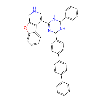 C1=C(C2=NC(c3ccc(-c4ccc(-c5ccccc5)cc4)cc3)NC(c3ccccc3)N2)c2c(oc3ccccc23)CN1